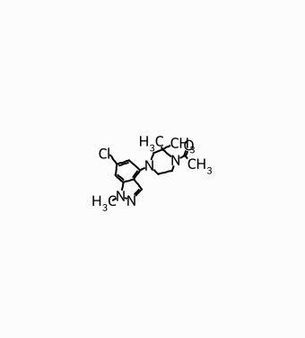 CC(=O)N1CCN(c2cc(Cl)cc3c2cnn3C)CC1(C)C